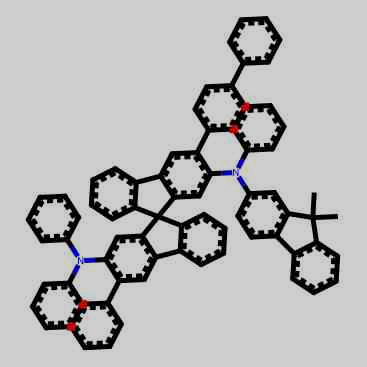 CC1(C)c2ccccc2-c2ccc(N(c3ccccc3)c3cc4c(cc3-c3ccc(-c5ccccc5)cc3)-c3ccccc3C43c4ccccc4-c4cc(-c5ccccc5)c(N(c5ccccc5)c5ccccc5)cc43)cc21